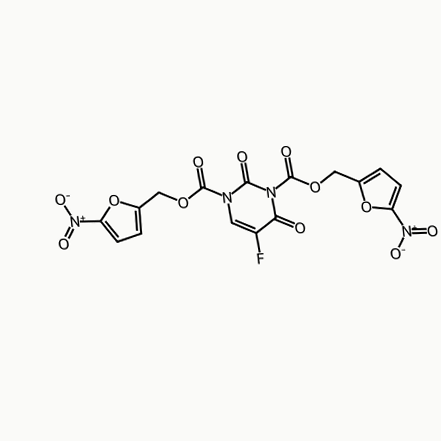 O=C(OCc1ccc([N+](=O)[O-])o1)n1cc(F)c(=O)n(C(=O)OCc2ccc([N+](=O)[O-])o2)c1=O